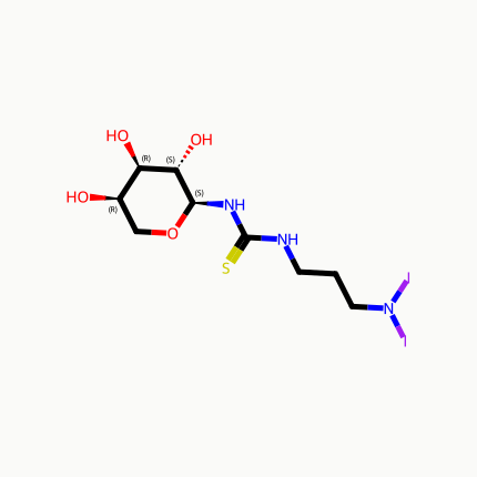 O[C@H]1[C@H](O)[C@@H](NC(=S)NCCCN(I)I)OC[C@H]1O